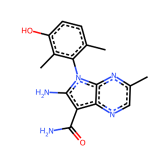 Cc1cnc2c(C(N)=O)c(N)n(-c3c(C)ccc(O)c3C)c2n1